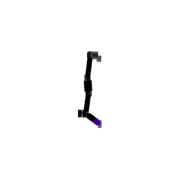 CB=BBI